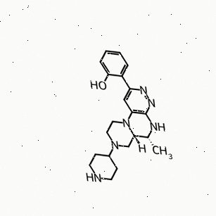 C[C@H]1Nc2nnc(-c3ccccc3O)cc2N2CCN(C3CCNCC3)C[C@@H]12